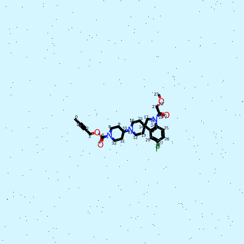 CC#CCOC(=O)N1CCC(N2CCC3(CC2)CN(C(=O)COC)c2ccc(F)cc23)CC1